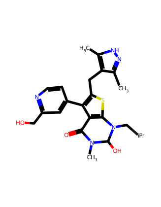 Cc1n[nH]c(C)c1Cc1sc2c(c1-c1ccnc(CO)c1)C(=O)N(C)C(O)N2CC(C)C